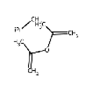 C=C(C)OC(=C)C.CC(C)C